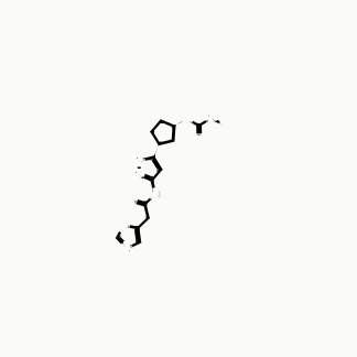 CCCNC(=O)O[C@@H]1CC[C@H](c2cc(NC(=O)Cc3cnco3)n[nH]2)C1